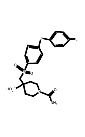 NC(=O)N1CCC(CS(=O)(=O)c2ccc(Oc3ccc(Cl)cc3)cc2)(C(=O)O)CC1